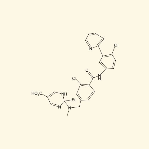 CCC1(N(C)Cc2ccc(C(=O)Nc3ccc(Cl)c(-c4ccccn4)c3)c(Cl)c2)N=CC(C(=O)O)=CN1